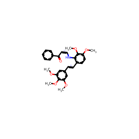 COc1cc(/C=C/c2ccc(OC)c(OC)c2N/C=C\C(=O)c2ccccc2)cc(OC)c1OC